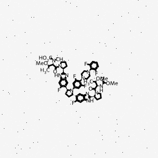 COC(=O)N[C@H](C(=O)N1CCC[C@H]1c1nc2cc([C@@H]3CC[C@@H](c4cc5nc([C@@H]6CCCN6C(=O)[C@H]([C@@H](C)OC)N(C)C(=O)O)[nH]c5cc4F)N3c3cc(F)c(N4CCN(c5c(F)cccc5F)CC4)c(F)c3)c(F)cc2[nH]1)[C@@H](C)OC